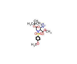 COC(=O)C(CN)N(CC(=O)OC(C)(C)C)S(=O)(=O)c1ccc(OC)cc1